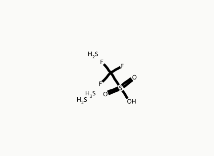 O=S(=O)(O)C(F)(F)F.S.S.S